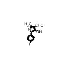 Cc1nn(-c2ccc(F)cc2)c(O)c1C=O